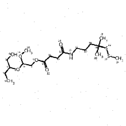 CCC(CO)OC(COC(=O)CCC(=O)NCCCC(C)(C)SSC)OC